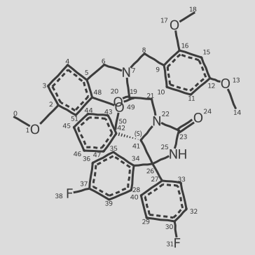 COc1ccc(CN(Cc2ccc(OC)cc2OC)C(=O)CN2C(=O)NC(c3ccc(F)cc3)(c3ccc(F)cc3)[C@@H]2c2ccccc2)c(OC)c1